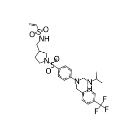 C=CS(=O)(=O)NCC1CCN(S(=O)(=O)c2ccc(N(CNC(C)C)Cc3ccc(C(F)(F)F)cc3)cc2)C1